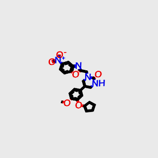 COc1ccc(C2CNC(=O)N(Cc3nc4cc([N+](=O)[O-])ccc4o3)C2)cc1OC1CCCC1